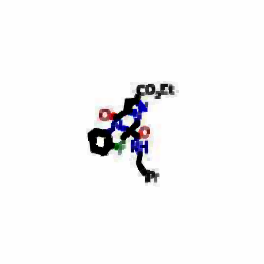 CCOC(=O)c1cc2n(n1)CC(C)(C(=O)NCCC(C)C)N(c1ccccc1F)C2=O